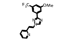 COc1cc(-c2ncn(C=Cc3ccccn3)n2)cc(C(F)(F)F)c1